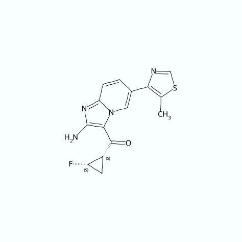 Cc1scnc1-c1ccc2nc(N)c(C(=O)[C@@H]3C[C@@H]3F)n2c1